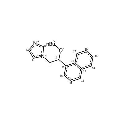 CCCCOC(Cn1ccnc1)c1cccc2ccccc12